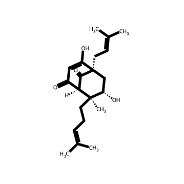 CC(C)=CCC[C@@]1(C)[C@H]2C(=O)C=C(O)[C@@](CC=C(C)C)(C[C@@H]1O)C2=O